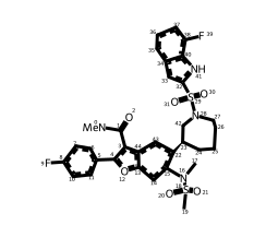 CNC(=O)c1c(-c2ccc(F)cc2)oc2cc(N(C)S(C)(=O)=O)c([C@@H]3CCCCN(S(=O)(=O)c4cc5cccc(F)c5[nH]4)C3)cc12